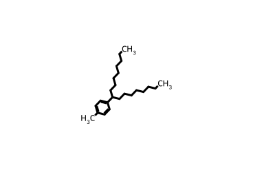 CCCCCCCCC(CCCCCCCC)c1ccc(C)cc1